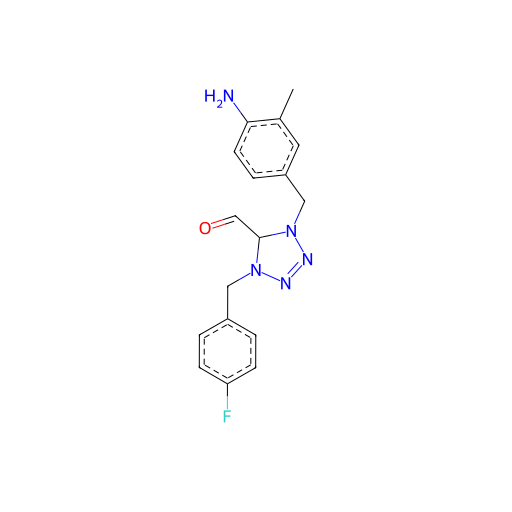 Cc1cc(CN2N=NN(Cc3ccc(F)cc3)C2C=O)ccc1N